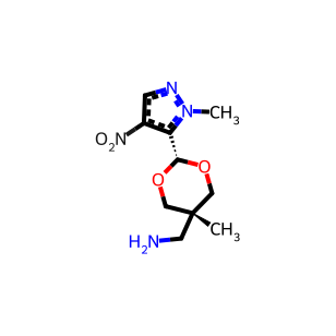 Cn1ncc([N+](=O)[O-])c1[C@H]1OC[C@@](C)(CN)CO1